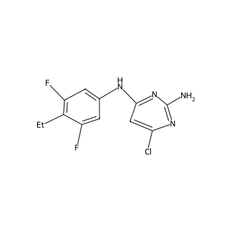 CCc1c(F)cc(Nc2cc(Cl)nc(N)n2)cc1F